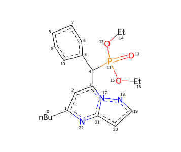 CCCCc1cc(C(c2ccccc2)P(=O)(OCC)OCC)n2nccc2n1